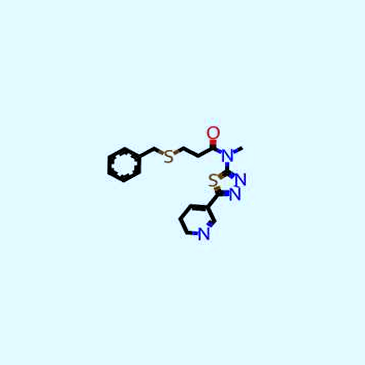 CN(C(=O)CCSCc1ccccc1)c1nnc(C2=CCCN=C2)s1